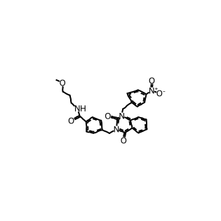 COCCCNC(=O)c1ccc(Cn2c(=O)c3ccccc3n(Cc3ccc([N+](=O)[O-])cc3)c2=O)cc1